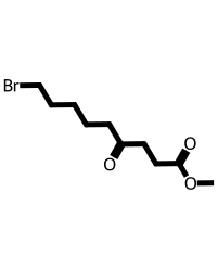 COC(=O)CCC(=O)CCCCCBr